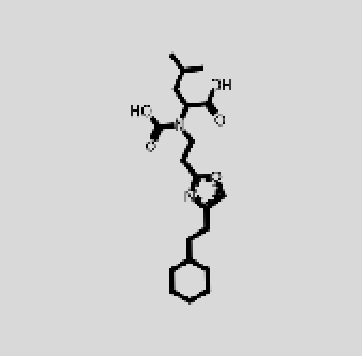 CC(C)CC(C(=O)O)N(CCc1nc(CCC2CCCCC2)co1)C(=O)O